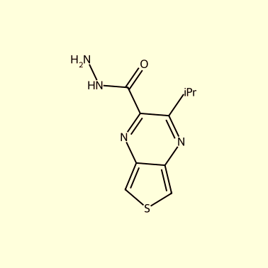 CC(C)c1nc2cscc2nc1C(=O)NN